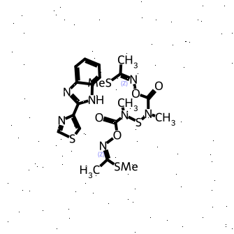 CS/C(C)=N\OC(=O)N(C)SN(C)C(=O)O/N=C(/C)SC.c1ccc2[nH]c(-c3cscn3)nc2c1